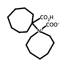 O=C(O)C1([N+]2(C(=O)[O-])CCCCCCC2)CCCCCCC1